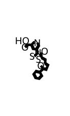 O=C(O)c1cncc(N2C(=O)C(=Cc3ccc(-c4ccccc4)o3)SC2=S)c1